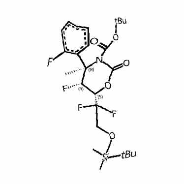 CC(C)(C)OC(=O)N1C(=O)O[C@H](C(F)(F)CO[Si](C)(C)C(C)(C)C)[C@H](F)[C@@]1(C)c1ccccc1F